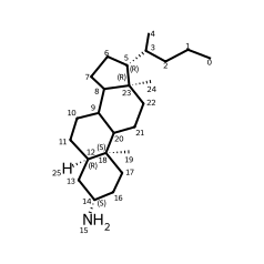 CCCC(C)[C@H]1CCC2C3CC[C@@H]4C[C@@H](N)CC[C@]4(C)C3CC[C@@]21C